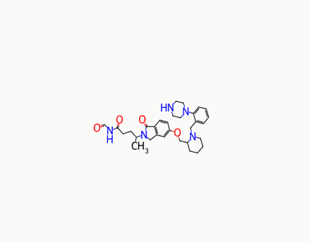 CC(CCC(=O)NC=O)N1Cc2cc(OCC3CCCCN3Cc3ccccc3N3CCNCC3)ccc2C1=O